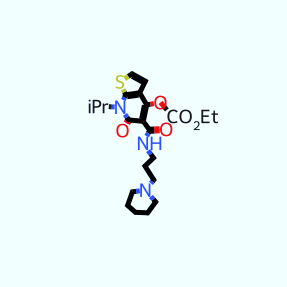 CCOC(=O)Oc1c(C(=O)NCCCN2CCCCC2)c(=O)n(C(C)C)c2sccc12